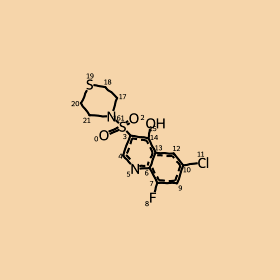 O=S(=O)(c1cnc2c(F)cc(Cl)cc2c1O)N1CCSCC1